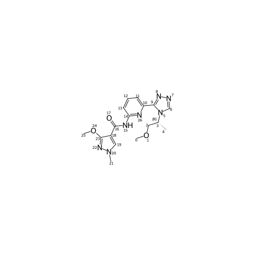 COC[C@@H](C)n1cnnc1-c1cccc(NC(=O)c2cn(C)nc2OC)n1